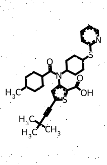 CC1CCC(C(=O)N(c2cc(C#CC(C)(C)C)sc2C(=O)O)C2CCC(Sc3ccccn3)CC2)CC1